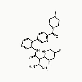 CN1CCN(C(=O)c2ccc(-c3ccncc3NC(=O)C(C(N)N)C3NCC(F)CN3)cn2)CC1